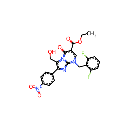 CCOC(=O)c1cn(Cc2c(F)cccc2F)c2nc(-c3ccc([N+](=O)[O-])cc3)c(CO)n2c1=O